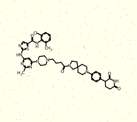 Cc1nc(Nc2ncc(C(=O)Nc3c(C)cccc3Cl)s2)cc(N2CCN(CCCC(=O)N3CCC4(CCN(c5ccc(C6CCC(=O)NC6=O)cc5)CC4)C3)CC2)n1